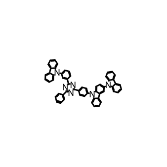 c1ccc(-c2nc(-c3ccc(-n4c5ccccc5c5cc(-n6c7ccccc7c7ccccc76)ccc54)cc3)nc(-c3cccc(-n4c5ccccc5c5ccccc54)c3)n2)cc#1